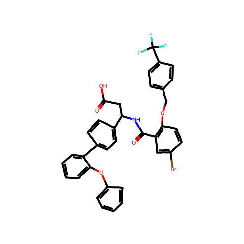 O=C(O)CC(NC(=O)c1cc(Br)ccc1OCc1ccc(C(F)(F)F)cc1)c1ccc(-c2ccccc2Oc2ccccc2)cc1